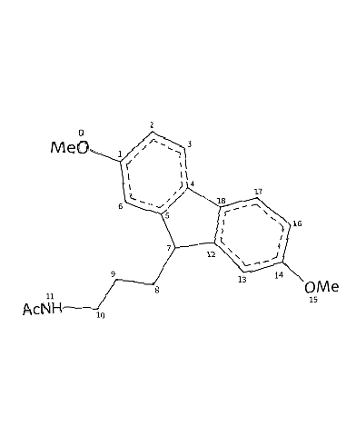 COc1ccc2c(c1)C(CCCNC(C)=O)c1cc(OC)ccc1-2